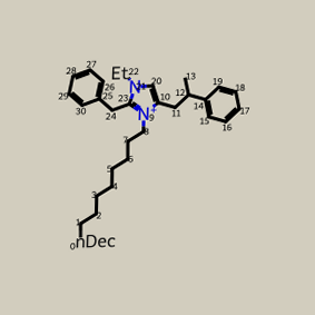 CCCCCCCCCCCCCCCCCC[n+]1c(CC(C)c2ccccc2)cn(CC)c1Cc1ccccc1